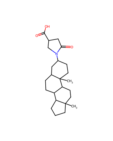 CC12CCCC1C1CCC3CC(N4CC(C(=O)O)CC4=O)CCC3(C)C1CC2